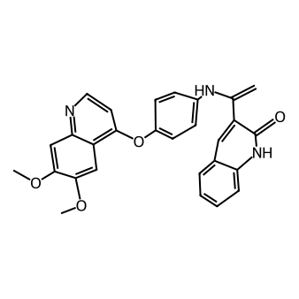 C=C(Nc1ccc(Oc2ccnc3cc(OC)c(OC)cc23)cc1)c1cc2ccccc2[nH]c1=O